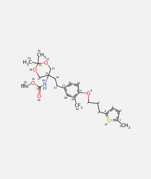 Cc1ccc(CCCOc2ccc(CCC3(NC(=O)OC(C)(C)C)COC(C)(C)OC3)cc2C(F)(F)F)s1